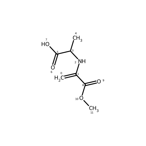 C=C(NC(C)C(=O)O)C(=O)OC